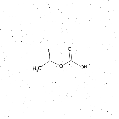 CC(F)OC(=O)O